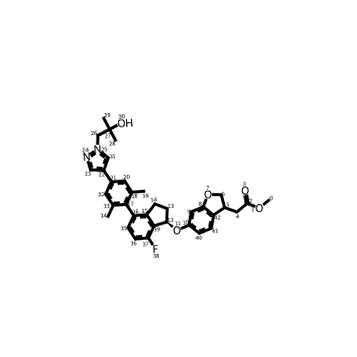 COC(=O)CC1COc2cc(O[C@@H]3CCc4c(-c5c(C)cc(-c6cnn(CC(C)(C)O)c6)cc5C)ccc(F)c43)ccc21